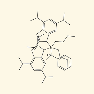 CCC[CH2][Zr]([CH2]CCC)([CH]1C(CC)=Cc2c(C(C)C)cc(C(C)C)cc21)([CH]1C(CC)=Cc2c(C(C)C)cc(C(C)C)cc21)[SiH](C)c1ccccc1